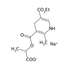 CCOC(=O)C1=CNC(C)=C(C(=O)OC(C)C(=O)[O-])C1.[Na+]